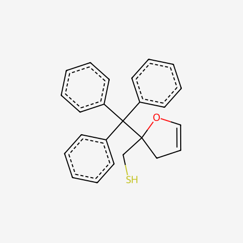 SCC1(C(c2ccccc2)(c2ccccc2)c2ccccc2)CC=CO1